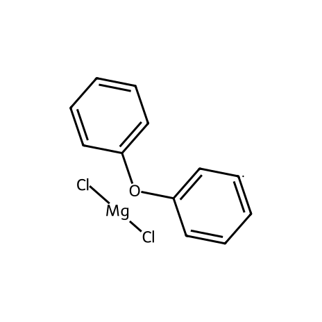 [Cl][Mg][Cl].[c]1cccc(Oc2ccccc2)c1